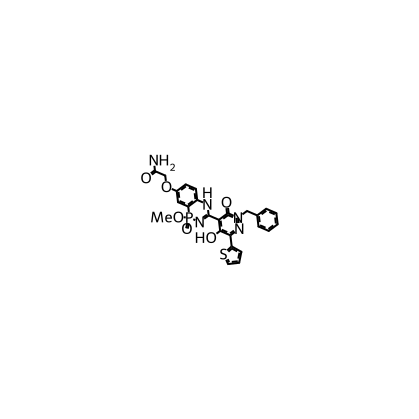 COP1(=O)N=C(c2c(O)c(-c3cccs3)nn(Cc3ccccc3)c2=O)Nc2ccc(OCC(N)=O)cc21